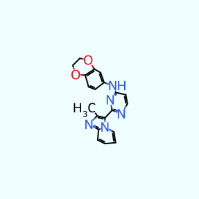 Cc1nc2ccccn2c1-c1nccc(Nc2ccc3c(c2)OCCO3)n1